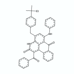 CCC(C)(C)c1ccc(Cc2cc(Nc3ccccc3)c3c4c(c(C(=O)c5ccccc5)c(=O)[nH]c24)-c2ccccc2C3=O)cc1